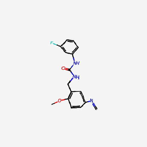 C=Nc1ccc(OC)c(CNC(=O)Nc2cccc(F)c2)c1